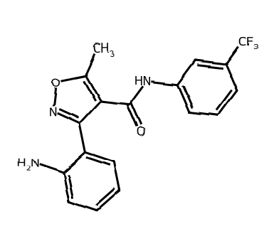 Cc1onc(-c2ccccc2N)c1C(=O)Nc1cccc(C(F)(F)F)c1